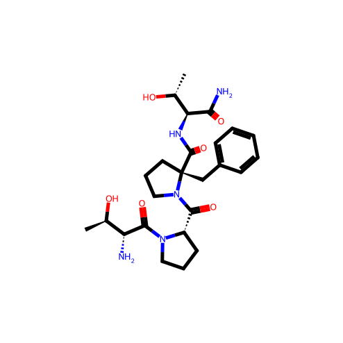 C[C@@H](O)[C@H](NC(=O)[C@@]1(Cc2ccccc2)CCCN1C(=O)[C@@H]1CCCN1C(=O)[C@H](N)[C@@H](C)O)C(N)=O